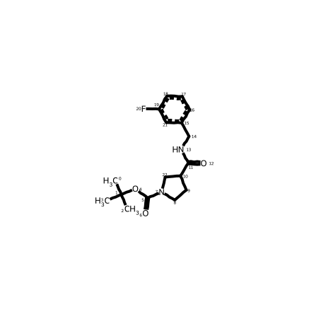 CC(C)(C)OC(=O)N1CCC(C(=O)NCc2cccc(F)c2)C1